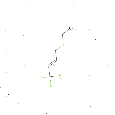 C[CH]SC/C=C/C(F)(F)F